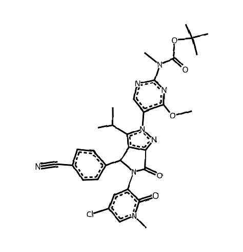 COc1nc(N(C)C(=O)OC(C)(C)C)ncc1-n1nc2c(c1C(C)C)C(c1ccc(C#N)cc1)N(c1cc(Cl)cn(C)c1=O)C2=O